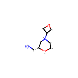 NC[C@@H]1CN(C2COC2)CCO1